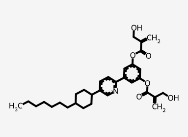 C=C(CO)C(=O)Oc1cc(OC(=O)C(=C)CO)cc(-c2ccc(C3CCC(CCCCCCC)CC3)cn2)c1